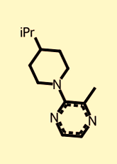 Cc1nccnc1N1CCC(C(C)C)CC1